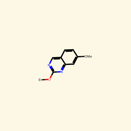 CCOc1ncc2ccc(OC)cc2n1